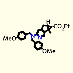 CCOC(=O)[C@H]1[C@@H]2Cc3cc(N(Cc4ccc(OC)cc4)Cc4ccc(OC)cc4)ncc3C21C